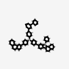 c1ccc(-c2cccc(-c3ccc(N(c4ccc(-c5ccc6ccc7ccccc7c6c5)cc4)c4ccc(-c5ccc6c7ccc8ccccc8c7n(-c7ccccc7)c6c5)cc4)cc3)c2)cc1